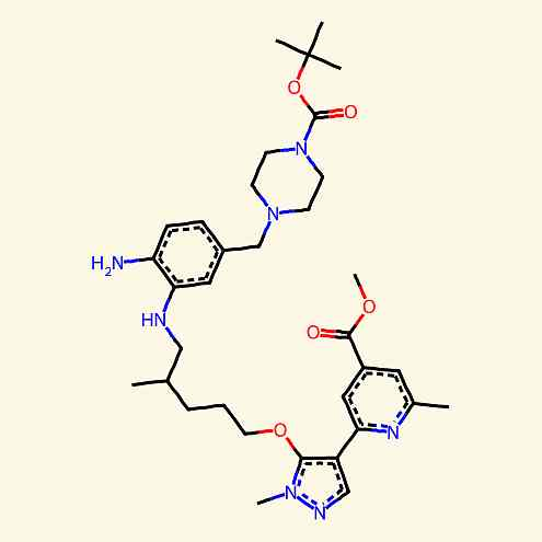 COC(=O)c1cc(C)nc(-c2cnn(C)c2OCCCC(C)CNc2cc(CN3CCN(C(=O)OC(C)(C)C)CC3)ccc2N)c1